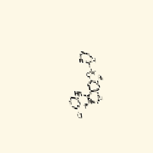 C[C@H](Oc1cc2c(Nc3cccc(Cl)c3F)ncnc2cc1Br)c1ncccn1